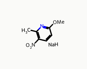 COc1ccc([N+](=O)[O-])c(C)n1.[NaH]